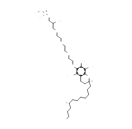 CCP(=O)(OO)OCC(O)COCCOCCOCCOc1c(C)c(C)c2c(c1C)CC[C@@](C)(CCC[C@H](C)CCC[C@H](C)CCCC(C)C)O2